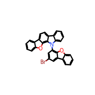 Brc1cc(-n2c3ccccc3c3ccc4c5ccccc5oc4c32)c2oc3ccccc3c2c1